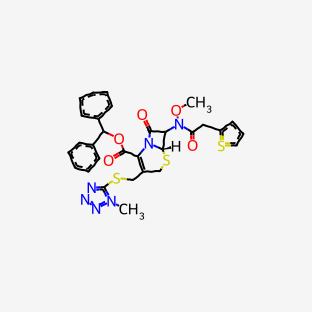 CON(C(=O)Cc1cccs1)C1C(=O)N2C(C(=O)OC(c3ccccc3)c3ccccc3)=C(CSc3nnnn3C)CS[C@@H]12